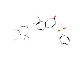 CO[C@@H]1C(O)[C@H](O)[C@H](Oc2ccc3cc(NS(=O)(=O)c4ccccc4)c(=O)oc3c2C)OC1(C)C